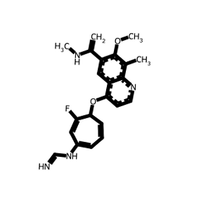 C=C(NC)c1cc2c(OC3C=CC=C(NC=N)C=C3F)ccnc2c(C)c1OC